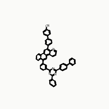 N#Cc1ccc(-c2ccc(-c3cc4c5ccccc5c(-c5cccc(-c6nc(-c7ccccc7)nc(-c7ccc(-c8ccccc8)cc7)n6)c5)cc4c4cccnc34)cc2)cc1